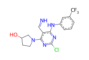 N=Cc1c(Nc2cccc(C(F)(F)F)c2)nc(Cl)nc1N1CCC(O)C1